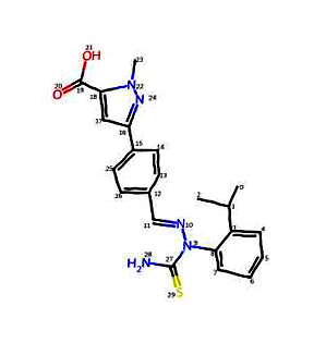 CC(C)c1ccccc1N(/N=C/c1ccc(-c2cc(C(=O)O)n(C)n2)cc1)C(N)=S